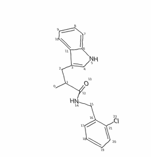 CC(Cc1c[nH]c2ccccc12)C(=O)NCc1ccccc1Cl